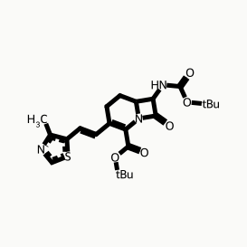 Cc1ncsc1C=CC1=C(C(=O)OC(C)(C)C)N2C(=O)C(NC(=O)OC(C)(C)C)C2CC1